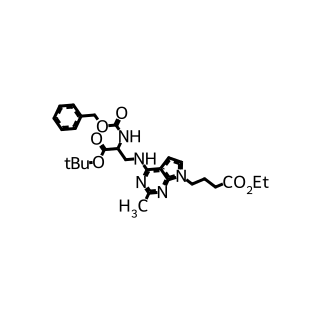 CCOC(=O)CCCn1ccc2c(NCC(NC(=O)OCc3ccccc3)C(=O)OC(C)(C)C)nc(C)nc21